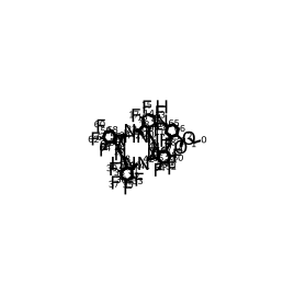 CCOC(=O)c1ccc(NC2(F)C(F)=C(F)C(F)=c3c2c2[nH]/c3=N\C3=NC(=N\c4[nH]c(c5c(F)c(F)c(F)c(F)c45)/N=C4\N=C(N2)c2c(F)c(F)c(F)c(F)c24)/c2c3cc(F)c(F)c2F)cc1